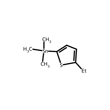 CCc1cc[c]([Sn]([CH3])([CH3])[CH3])s1